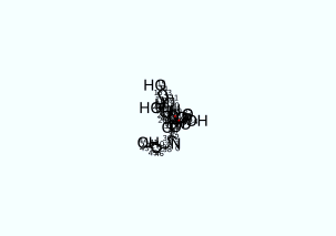 Cn1cc([C@@H]2O[C@@H]3C[C@H]4[C@@H]5CCC6=CC(O)C=C[C@]6(C)[C@H]5[C@@H](O)C[C@]4(C)[C@]3(C(=O)COP(=O)(O)O)O2)cc1Cc1ccc(CO)cc1